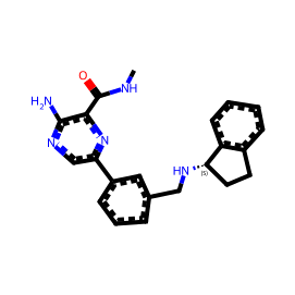 CNC(=O)c1nc(-c2cccc(CN[C@H]3CCc4ccccc43)c2)cnc1N